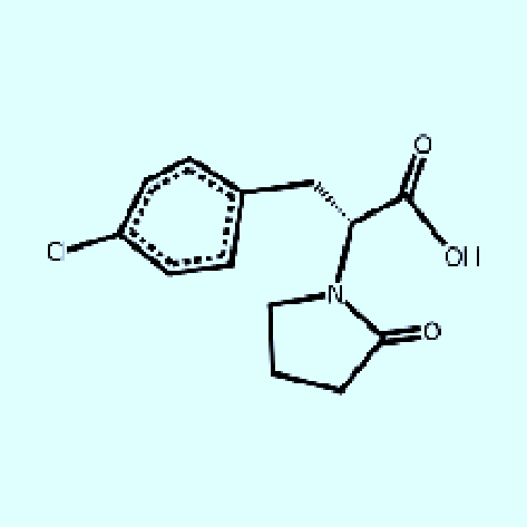 O=C(O)[C@@H](Cc1ccc(Cl)cc1)N1CCCC1=O